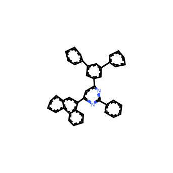 c1ccc(-c2cc(-c3ccccc3)cc(-c3cc(-c4cc5ccccc5c5ccccc45)nc(-c4ccccc4)n3)c2)cc1